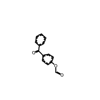 O=COc1ccc(C(=O)c2ccccc2)cc1